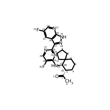 CC(=O)[C@H]1CCCC2(CCCC2)[C@@H]1Nc1nc(-c2n[nH]c3ncc(F)cc23)ncc1F